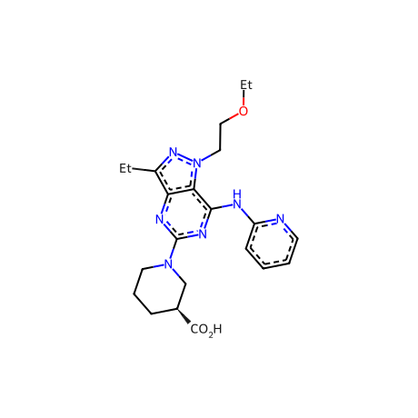 CCOCCn1nc(CC)c2nc(N3CCC[C@H](C(=O)O)C3)nc(Nc3ccccn3)c21